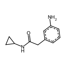 Nc1cccc(CC(=O)NC2CC2)c1